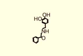 O=C(CNCCc1ccc(O)c(O)c1)c1ccccc1